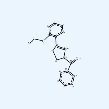 CCOc1ccccc1C1=NN(C(=O)c2cccnc2)CC1